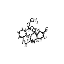 COC(=O)c1ccccc1-n1c(CF)nc2ccc(F)cc2c1=O